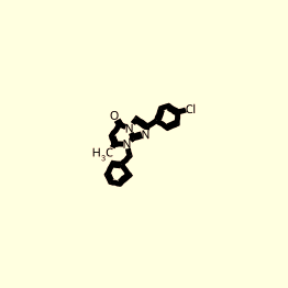 Cc1cc(=O)n2cc(-c3ccc(Cl)cc3)nc2n1Cc1ccccc1